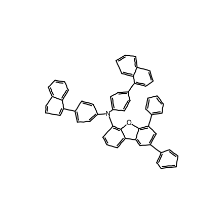 c1ccc(-c2cc(-c3ccccc3)c3oc4c(N(c5ccc(-c6cccc7ccccc67)cc5)c5ccc(-c6cccc7ccccc67)cc5)cccc4c3c2)cc1